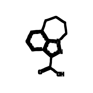 O=C(O)c1nn2c3c(cccc13)CCCC2